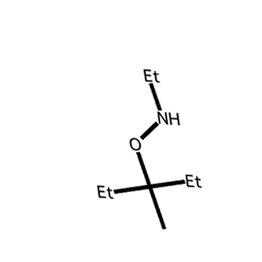 CCNOC(C)(CC)CC